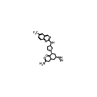 CC(C)NC1CC(CC(N)=O)C(=O)[C@@H](N2CCC(Nc3ncc4cc(C(F)(F)F)ccc4n3)C2)C1